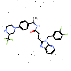 C[C@H](NC(=O)CCc1nc2cccnc2n1Cc1ccc(F)c(F)c1)c1ccc(N2CCNC(C(F)(F)F)C2)cc1